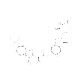 O=C1CCC(N2Cc3cc(CNC(=O)c4sc5cc(C(F)(F)F)ccc5c4Cl)ccc3C2=O)C(=O)N1